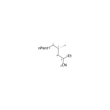 CCCCCC[C@H](C)CC(C#N)CC